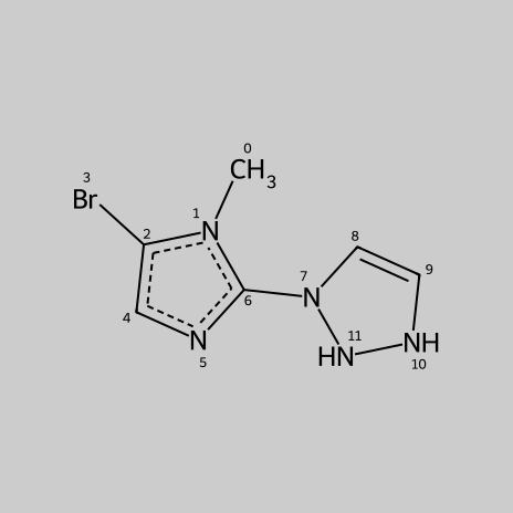 Cn1c(Br)cnc1N1C=CNN1